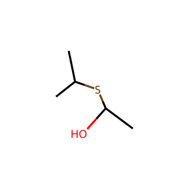 CC(C)SC(C)O